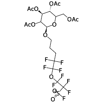 CC(=O)OCC1O[C@@H](OCCCC(F)(F)C(F)(F)OC(F)(F)C(F)(F)S(=O)(=O)F)C(OC(C)=O)[C@@H](OC(C)=O)[C@@H]1OC(C)=O